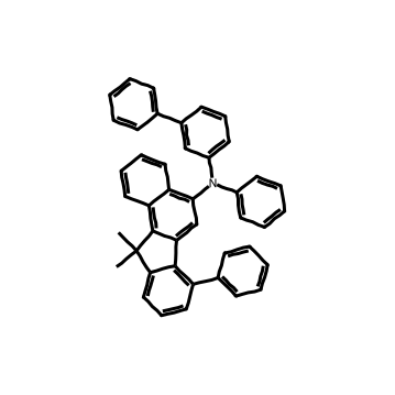 CC1(C)c2cccc(-c3ccccc3)c2-c2cc(N(c3ccccc3)c3cccc(-c4ccccc4)c3)c3ccccc3c21